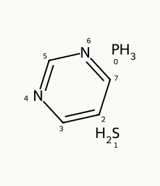 P.S.c1cncnc1